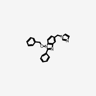 c1ccc(COn2c(-c3ccccc3)nc3cc(Cn4ccnc4)ccc32)cc1